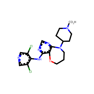 O=C(O)N1CCC(N2CCCOc3c(Nc4c(Cl)cncc4Cl)ncnc32)CC1